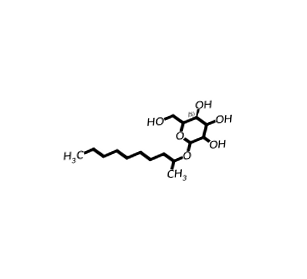 CCCCCCCCC(C)OC1OC(CO)[C@@H](O)C(O)C1O